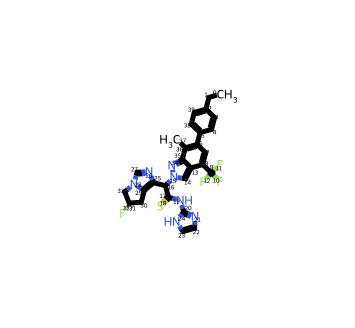 CCc1ccc(-c2cc(C(F)(F)F)c3cn(C(C(=S)Nc4ncc[nH]4)c4ncn5c4C[C@@H](F)C5)nc3c2C)cc1